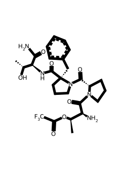 C[C@@H](O)[C@H](NC(=O)[C@]1(Cc2ccccc2)CCCN1C(=O)[C@@H]1CCCN1C(=O)[C@@H](N)[C@@H](C)OC(=O)C(F)(F)F)C(N)=O